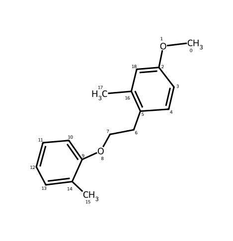 COc1ccc(CCOc2ccccc2C)c(C)c1